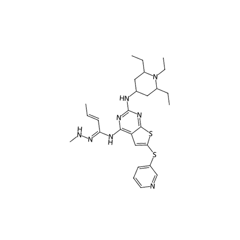 C/C=C/C(=N\NC)Nc1nc(NC2CC(CC)N(CC)C(CC)C2)nc2sc(Sc3cccnc3)cc12